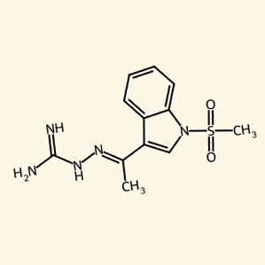 CC(=NNC(=N)N)c1cn(S(C)(=O)=O)c2ccccc12